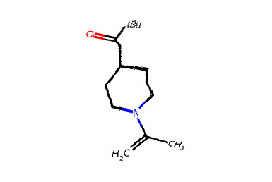 C=C(C)N1CCC(C(=O)C(C)(C)C)CC1